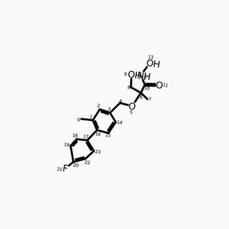 Cc1cc(COC(C)(CO)C(=O)NO)ccc1-c1ccc(F)cc1